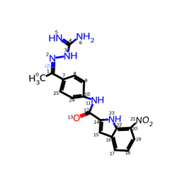 C/C(=N/NC(=N)N)c1ccc(NC(=O)c2cc3cccc([N+](=O)[O-])c3[nH]2)cc1